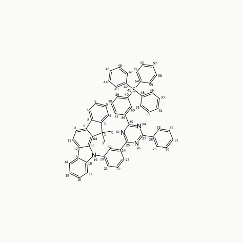 CC1(C)c2ccccc2-c2ccc3c4ccccc4n(-c4cccc(-c5nc(-c6ccccc6)nc(-c6cccc(S(c7ccccc7)(c7ccccc7)c7ccccc7)c6)n5)c4)c3c21